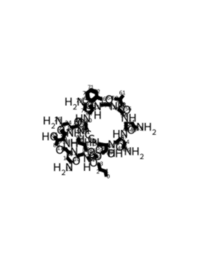 CCCCOP(=O)(NCC(=O)N[C@@H](CCN)C(=O)N[C@H](C(=O)N[C@@H](CCN)C(=O)N[C@H]1CCNC(=O)C(C(C)O)NC(=O)[C@H](CCN)NC(=O)[C@H](CCN)NC(=O)[C@H](CC(C)C)NC(=O)[C@@H](Cc2ccccc2)NC(=O)[C@H](CCN)NC1=O)C(C)O)OCCCC